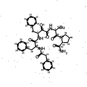 CCC(C)C(NC(=O)C(=O)C(Cc1ccccc1)NC(=O)C(Cc1ccccc1)NC(=O)Cc1ccccc1)C(=O)N1CCCC1C(N)=O